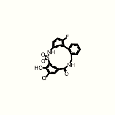 O=C1NCc2ccccc2-c2cc(ccc2F)NS(=O)(=O)c2cc1cc(Cl)c2O